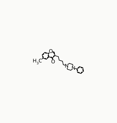 Cc1ccc2occ(CCCCN3CCN(c4ccccc4)CC3)c(=O)c2c1